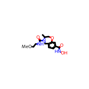 COCCNC(=O)N1Cc2ccc(C(=O)NO)cc2OCC1C